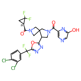 O=C(c1cncc(O)n1)N1CC(c2nnc(C(F)(F)c3ccc(Cl)c(Cl)c3)o2)C2(C1)CN(C(=O)[C@H]1CC1(F)F)C2